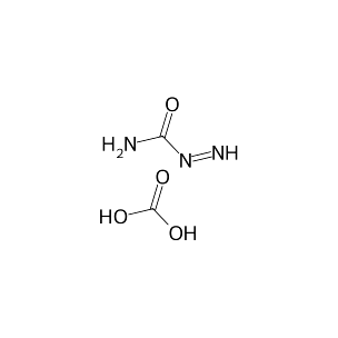 N=NC(N)=O.O=C(O)O